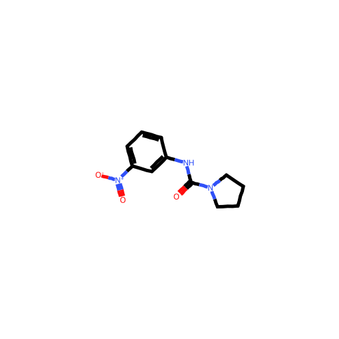 O=C(Nc1cccc([N+](=O)[O-])c1)N1CCCC1